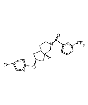 O=C(c1cccc(C(F)(F)F)c1)N1CCN2C[C@H](Oc3ccc(Cl)cn3)C[C@H]2C1